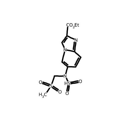 CCOC(=O)c1cn2cc(N(CS(C)(=O)=O)[SH](=O)=O)ccc2n1